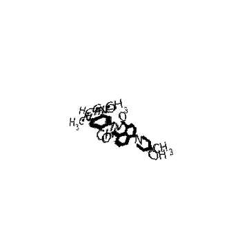 Cc1cc(N(C)C=O)c(N(C)C)cc1N1C(=O)c2cccc3c(N4CCC(C)(O)CC4)ccc(c23)C1=O